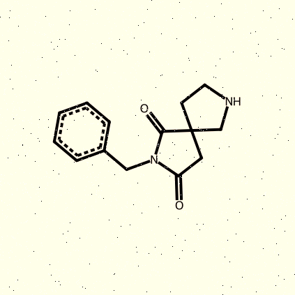 O=C1CC2(CCNC2)C(=O)N1Cc1ccccc1